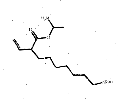 C=CC(CCCCCCCCCCCCCCCC)C(=O)OC(C)N